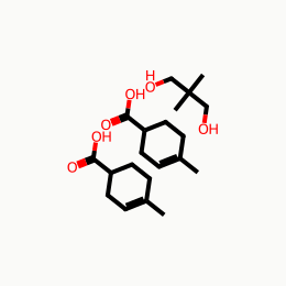 CC(C)(CO)CO.CC1=CCC(C(=O)O)CC1.CC1=CCC(C(=O)O)CC1